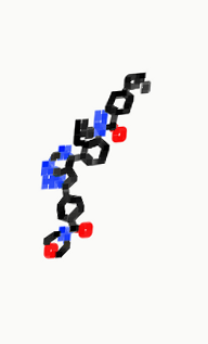 Cc1c(NC(=O)c2ccc(C(F)(F)F)cc2)cccc1-c1ncnc2[nH]c(-c3ccc(C(=O)N4CCOCC4)cc3)cc12